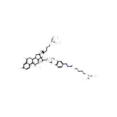 COc1cc(/C=C/C(=O)OCCCCON(O)O)ccc1OC(=O)OCC(=O)[C@@]1(OC(=O)CCCON(O)O)[C@H](O)CC2C3C[C@H](F)C4=CC(=O)C=C[C@]4(C)[C@@]3(F)[C@@H](O)C[C@@]21C